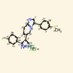 CSc1ccc(-c2cnc3ccc(-c4c[nH]nc4-c4ccc(F)cc4)cn23)cc1.Cl.Cl